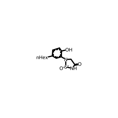 CCCCCCc1ccc(O)c(N2CC(=O)N[S+]2[O-])c1